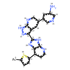 CC(=O)c1ccc(-c2ccnc3[nH]c(-c4n[nH]c5ncc(-c6cncc(N)c6)cc45)nc23)s1